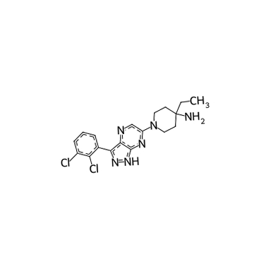 CCC1(N)CCN(c2cnc3c(-c4cccc(Cl)c4Cl)n[nH]c3n2)CC1